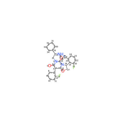 NC(Cn1c(=O)c(-c2ccccc2F)c2n(c1=O)C(c1c(F)cccc1C(F)(F)F)CO2)c1ccccc1